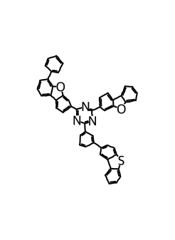 c1ccc(-c2cccc3c2oc2cc(-c4nc(-c5cccc(-c6ccc7sc8ccccc8c7c6)c5)nc(-c5ccc6c(c5)oc5ccccc56)n4)ccc23)cc1